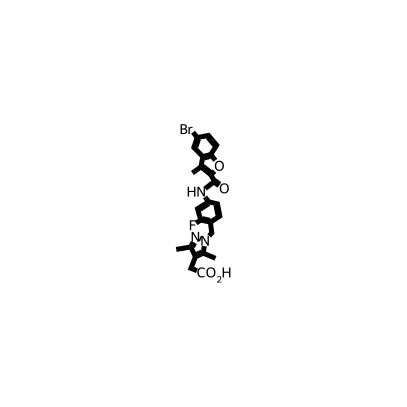 Cc1nn(Cc2ccc(NC(=O)c3oc4ccc(Br)cc4c3C)cc2F)c(C)c1CC(=O)O